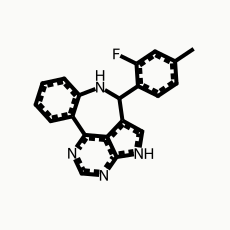 Cc1ccc(C2Nc3ccccc3-c3ncnc4[nH]cc2c34)c(F)c1